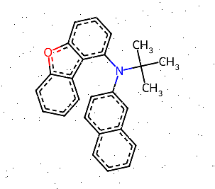 CC(C)(C)N(c1ccc2ccccc2c1)c1cccc2oc3ccccc3c12